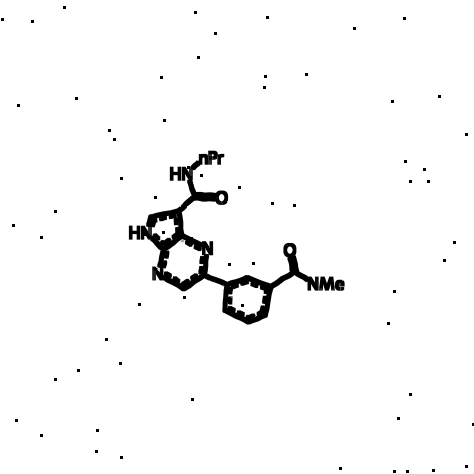 CCCNC(=O)c1c[nH]c2ncc(-c3cccc(C(=O)NC)c3)nc12